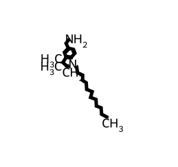 C=C1N(CCCCCCCCCCCCCC)c2ccc(CN)cc2C1(C)C